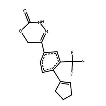 O=C1NN=C(c2ccc(C3=CCCC3)c(C(F)(F)F)c2)CO1